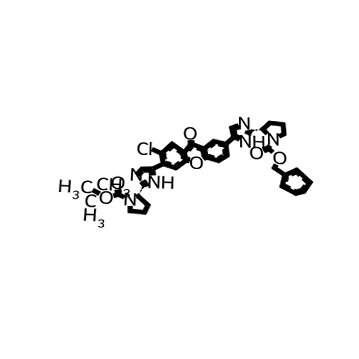 CC(C)(C)OC(=O)N1CCC[C@H]1c1ncc(-c2cc3oc4ccc(-c5cnc([C@@H]6CCCN6C(=O)OCc6ccccc6)[nH]5)cc4c(=O)c3cc2Cl)[nH]1